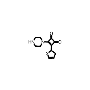 O=c1c(C2CC=CS2)c(N2CCNCC2)c1=O